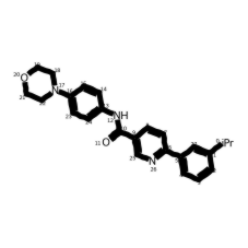 CC(C)c1cccc(-c2ccc(C(=O)Nc3ccc(N4CCOCC4)cc3)cn2)c1